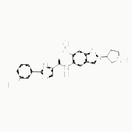 COc1cc2nn(C3CCNC3)cc2cc1NC(=O)c1coc(-c2cccc(C)c2)n1